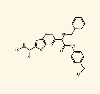 COc1ccc(NC(=O)C(NCc2ccccc2)c2ccc3cc(C(=O)NO)sc3c2)cc1